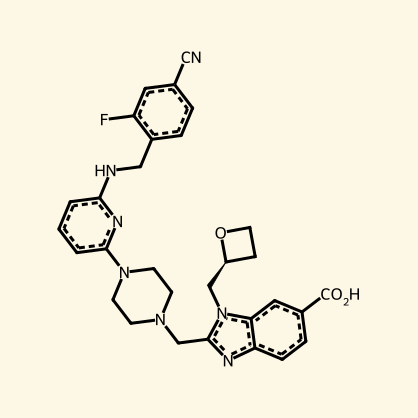 N#Cc1ccc(CNc2cccc(N3CCN(Cc4nc5ccc(C(=O)O)cc5n4C[C@@H]4CCO4)CC3)n2)c(F)c1